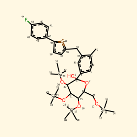 Cc1ccc(C2(O)OC(CO[Si](C)(C)C)C(O[Si](C)(C)C)C(O[Si](C)(C)C)C2O[Si](C)(C)C)cc1Cc1ccc(-c2ccc(F)cc2)s1